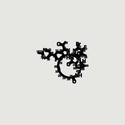 CC(=O)c1nn2c3c(cc(-c4cnc(C)nc4)cc13)C/C=C\CCCC(=O)NC[C@@]13C[C@@H](C(=O)Nc4cc(C)c(F)c(Br)n4)N(C(=O)C2)[C@@H]1C3